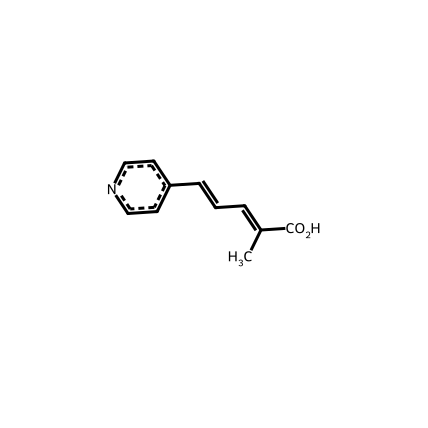 CC(=CC=Cc1ccncc1)C(=O)O